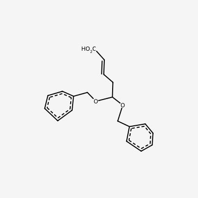 O=C(O)C=CCC(OCc1ccccc1)OCc1ccccc1